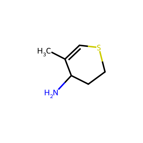 CC1=CSCCC1N